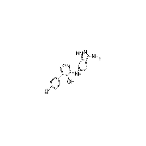 Nc1n[nH]c2cc(Nc3ncnc(-c4ccc(Cl)cc4)c3O)ccc12